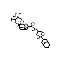 O=C(OCC1COC(C2CC3CCCC(C3)C2)OC1)C12CC3CC(C1)C1(OCC(F)(F)C(F)(F)CO1)C(C3)C2